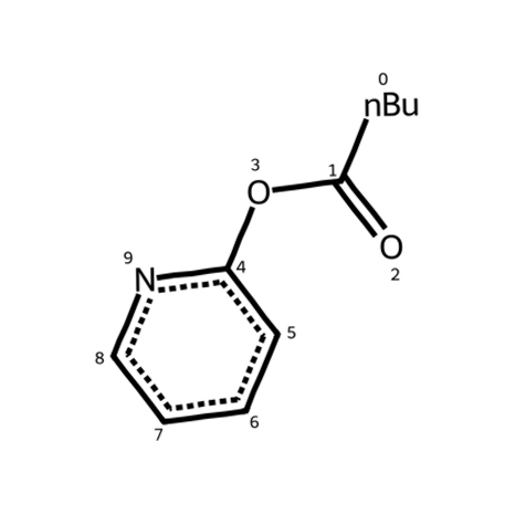 [CH2]CCCC(=O)Oc1ccccn1